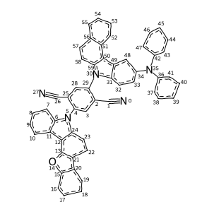 N#Cc1cc(-n2c3ccccc3c3c4oc5ccccc5c4ccc32)c(C#N)cc1-n1c2ccc(N(c3ccccc3)c3ccccc3)cc2c2c3ccccc3ccc21